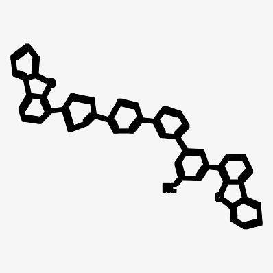 N#Cc1cc(-c2cccc(-c3ccc(-c4ccc(-c5cccc6c5oc5ccccc56)cc4)cc3)c2)cc(-c2cccc3c2oc2ccccc23)c1